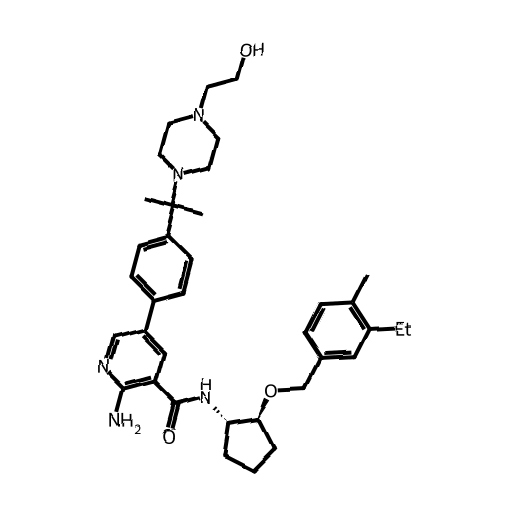 CCc1cc(CO[C@H]2CCC[C@@H]2NC(=O)c2cc(-c3ccc(C(C)(C)N4CCN(CCO)CC4)cc3)cnc2N)ccc1C